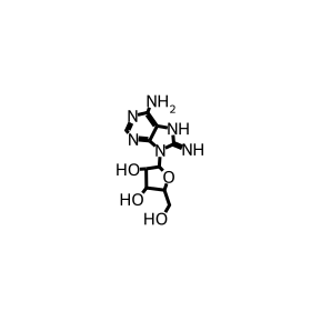 N=c1[nH]c2c(N)ncnc2n1C1OC(CO)C(O)C1O